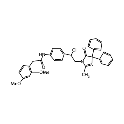 COc1ccc(CC(=O)Nc2ccc(C(O)CN3C(=O)C(c4ccccc4)(c4ccccc4)N=C3C)cc2)c(OC)c1